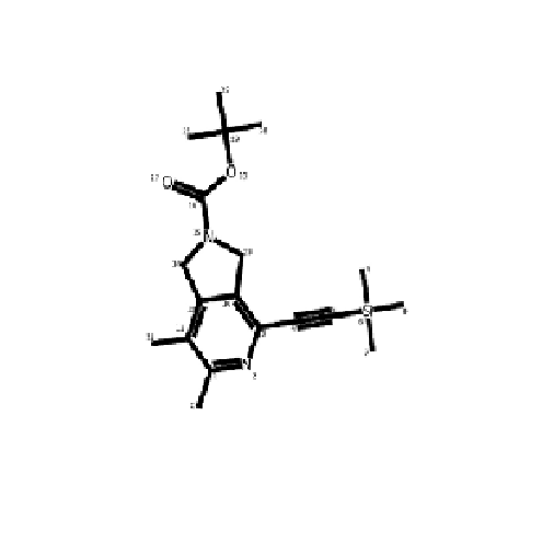 Cc1nc(C#C[Si](C)(C)C)c2c(c1C)CN(C(=O)OC(C)(C)C)C2